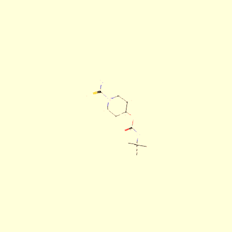 CC(C)(C)NC(=O)OC1CCN(C(N)=S)CC1